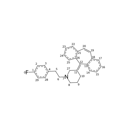 Fc1ccc(CCN2CCCC(=C3c4ccccc4C=Cc4ccccc43)C2)cc1